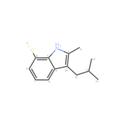 Cc1[nH]c2c(F)cccc2c1CC(C)C